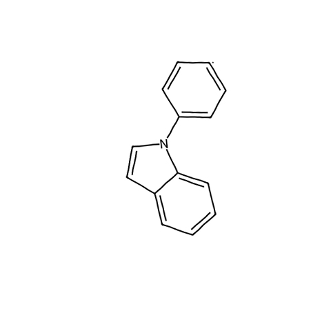 [c]1ccc(-n2ccc3ccccc32)cc1